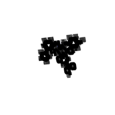 COC(=O)[C@@H](C)Cn1c(=O)[nH]/c(=N\c2cccc(C3CCCC3)c2)n(Cc2ccc(C)cc2)c1=O